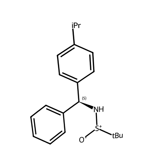 CC(C)c1ccc([C@@H](N[S+]([O-])C(C)(C)C)c2ccccc2)cc1